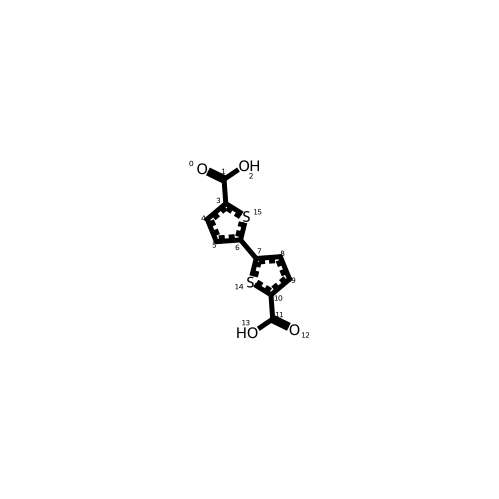 O=C(O)c1ccc(-c2ccc(C(=O)O)s2)s1